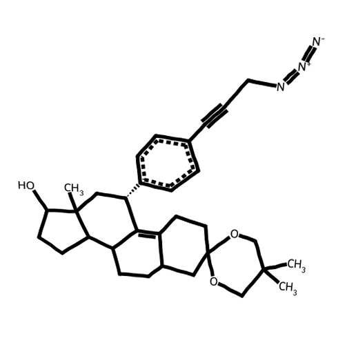 CC1(C)COC2(CCC3=C4C(CCC3C2)C2CCC(O)C2(C)C[C@@H]4c2ccc(C#CCN=[N+]=[N-])cc2)OC1